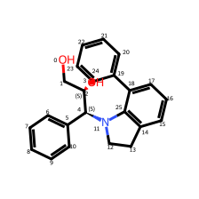 OC[C@@H](O)[C@H](c1ccccc1)N1CCc2cccc(-c3ccccc3)c21